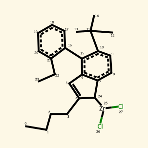 CCCCC1=Cc2c(ccc(C(C)(C)C)c2-c2ccccc2CC)[CH]1[Zr]([Cl])[Cl]